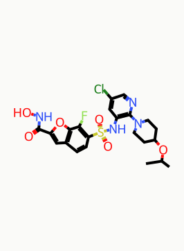 CC(C)OC1CCN(c2ncc(Cl)cc2NS(=O)(=O)c2ccc3cc(C(=O)NO)oc3c2F)CC1